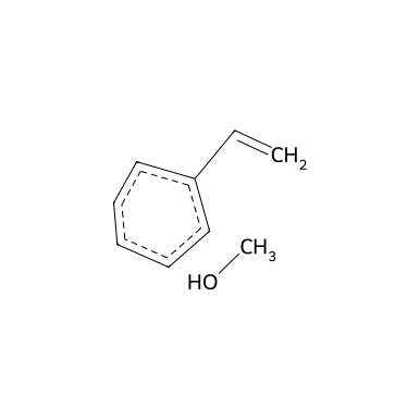 C=Cc1ccccc1.CO